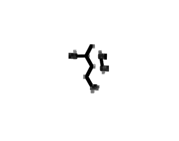 CCCCCC(C)O.OO